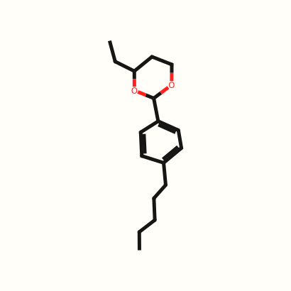 CCCCCc1ccc(C2OCCC(CC)O2)cc1